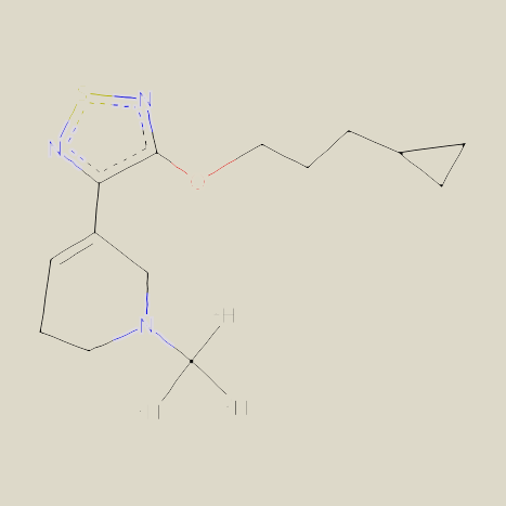 [2H]C([2H])([2H])N1CCC=C(c2nsnc2OCCCC2CC2)C1